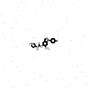 Cc1cc2c(cnn2-c2ccc(F)cc2)cc1OC(=O)NC1CCNC1